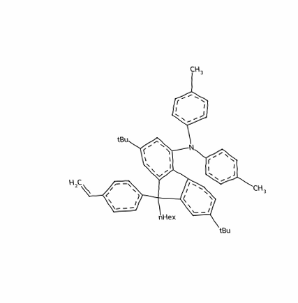 C=Cc1ccc(C2(CCCCCC)c3cc(C(C)(C)C)ccc3-c3c(N(c4ccc(C)cc4)c4ccc(C)cc4)cc(C(C)(C)C)cc32)cc1